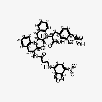 O=C(CCNc1ccc([N+](=O)[O-])c2nonc12)NC(Cc1ccccc1)C(=O)NC(Cc1ccccc1)C(=O)NC(Cc1ccc(OP(=O)(O)O)cc1)C(=O)O